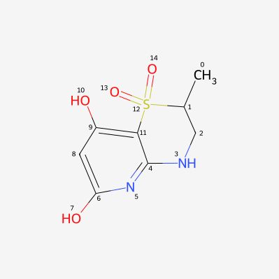 CC1CNc2nc(O)cc(O)c2S1(=O)=O